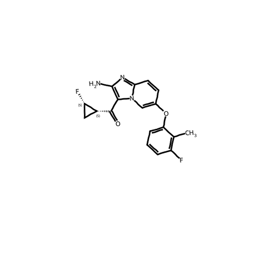 Cc1c(F)cccc1Oc1ccc2nc(N)c(C(=O)[C@@H]3C[C@@H]3F)n2c1